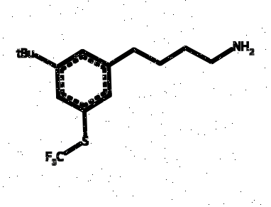 CC(C)(C)c1cc(CCCCN)cc(SC(F)(F)F)c1